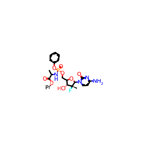 CC(C)OC(=O)C(C)NP(=O)(OCC1OC(n2ccc(N)nc2=O)[C@](C)(F)[C@@H]1O)Oc1ccccc1